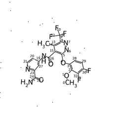 COc1c(Oc2nnc(C(F)(F)F)c(C)c2C(=O)Nc2ccnc(C(N)=O)c2)ccc(F)c1F